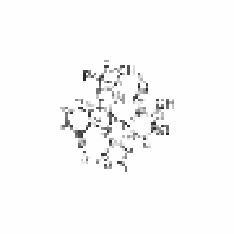 C[C@@H](N1CN([C@H]2c3ccccc3CSc3cccc(F)c32)n2ccc(=O)c(O)c2C1=O)C(F)(F)F